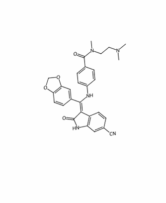 CN(C)CCN(C)C(=O)c1ccc(NC(=C2C(=O)Nc3cc(C#N)ccc32)c2ccc3c(c2)OCO3)cc1